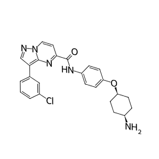 N[C@H]1CC[C@@H](Oc2ccc(NC(=O)c3ccn4ncc(-c5cccc(Cl)c5)c4n3)cc2)CC1